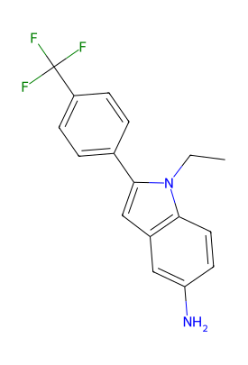 CCn1c(-c2ccc(C(F)(F)F)cc2)cc2cc(N)ccc21